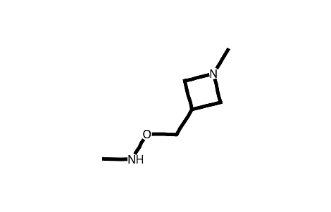 CNOCC1CN(C)C1